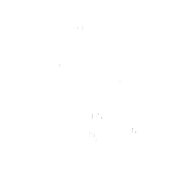 Clc1cccc(C(Cc2ccccc2Br)NC2=NCCC2)c1Cl